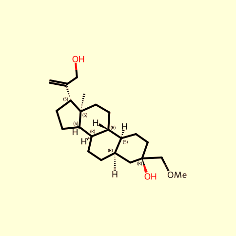 C=C(CO)[C@H]1CC[C@H]2[C@@H]3CC[C@@H]4C[C@@](O)(COC)CC[C@@H]4[C@H]3CC[C@]12C